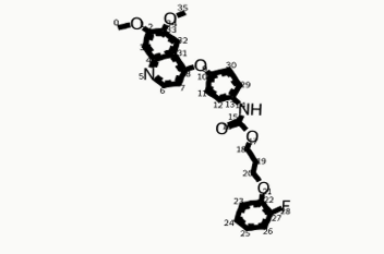 COc1cc2nccc(Oc3ccc(NC(=O)OCCCOc4ccccc4F)cc3)c2cc1OC